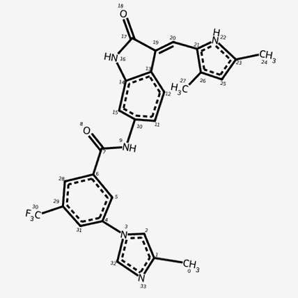 Cc1cn(-c2cc(C(=O)Nc3ccc4c(c3)NC(=O)C4=Cc3[nH]c(C)cc3C)cc(C(F)(F)F)c2)cn1